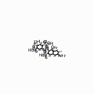 COc1cc(S(=O)(=O)O)c(/N=N/c2c(S(=O)(=O)O)cc3cc([NH])ccc3c2O)cc1S(=O)(=O)O